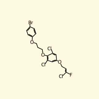 F/C(Cl)=C/COc1cc(Cl)c(OCCCOc2ccc(Br)cc2)c(Cl)c1